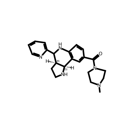 CN1CCN(C(=O)c2ccc3c(c2)[C@H]2NCC[C@H]2C(c2ccccn2)N3)CC1